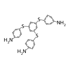 Nc1ccc(Sc2cc(Sc3ccc(N)cc3)cc(Sc3ccc(N)cc3)c2)cc1